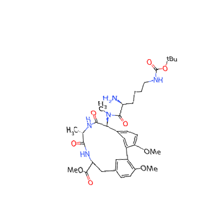 COC(=O)C1Cc2ccc(OC)c(c2)-c2cc(ccc2OC)[C@H](N(C)C(=O)[C@@H](N)CCCCNC(=O)OC(C)(C)C)C(=O)N[C@@H](C)C(=O)N1